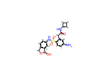 Nc1ccc(S(=O)(=O)Nc2ccc3c(c2)B(O)OC3)c(CC(=O)NC2CCC2)c1